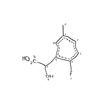 Cc1ccc(F)c(C(O)C(=O)O)c1